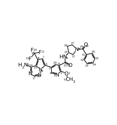 COc1ncc(-c2cc(C(F)(F)F)c3c(N)ncnn23)cc1C(=O)N[C@H]1CCN(C(=O)c2ccccc2)C1